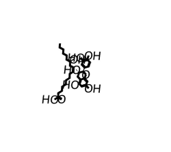 CCCCCC[C@@H](O)C/C=C\CCCCCCCC(=O)O.Oc1cc(O)c2c(c1)O[C@H](c1ccc(O)c(O)c1)[C@@H](O)C2